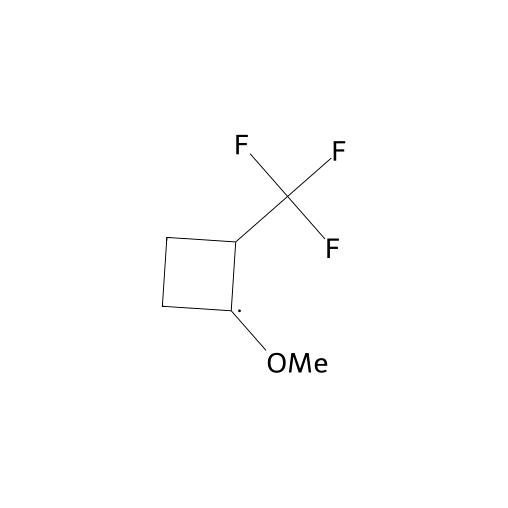 CO[C]1CCC1C(F)(F)F